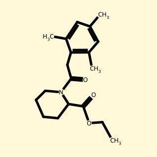 CCOC(=O)C1CCCCN1C(=O)Cc1c(C)cc(C)cc1C